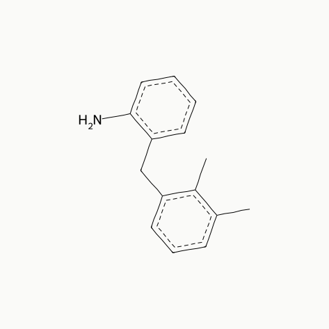 Cc1cccc(Cc2ccccc2N)c1C